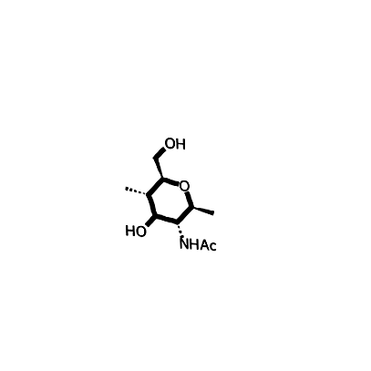 CC(=O)N[C@@H]1C(O)[C@H](C)[C@@H](CO)O[C@H]1C